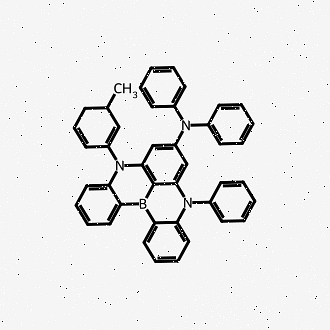 CC1C=C(N2c3ccccc3B3c4ccccc4N(c4ccccc4)c4cc(N(c5ccccc5)c5ccccc5)cc2c43)C=CC1